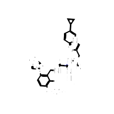 COc1ccc(-n2cnnn2)c(CNC(=O)/C(N)=N/N(N)Cc2cn3cc(C4CC4)ccc3n2)c1F